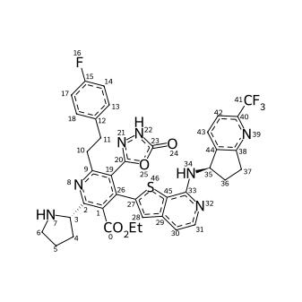 CCOC(=O)c1c([C@@H]2CCCN2)nc(CCc2ccc(F)cc2)c(-c2n[nH]c(=O)o2)c1-c1cc2ccnc(N[C@@H]3CCc4nc(C(F)(F)F)ccc43)c2s1